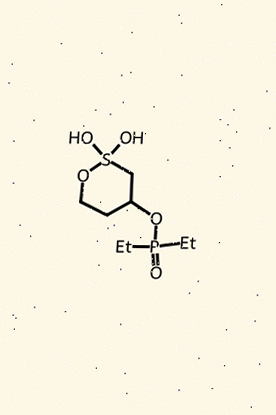 CCP(=O)(CC)OC1CCOS(O)(O)C1